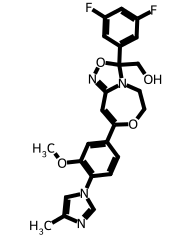 COc1cc(C2=CC3=NOC(CO)(c4cc(F)cc(F)c4)N3CCO2)ccc1-n1cnc(C)c1